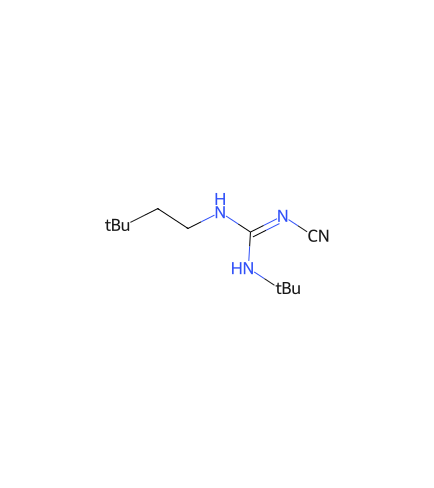 CC(C)(C)CCNC(=NC#N)NC(C)(C)C